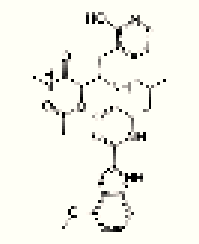 CNC(=O)C(OC(C)=O)[C@H](Cc1cccnc1O)NC(=O)[C@H](CC(C)C)NC(=O)c1cc2c(OC)cccc2[nH]1